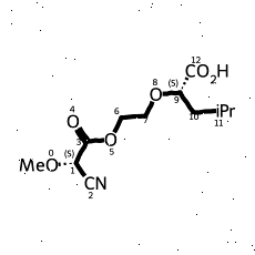 CO[C@@H](C#N)C(=O)OCCO[C@@H](CC(C)C)C(=O)O